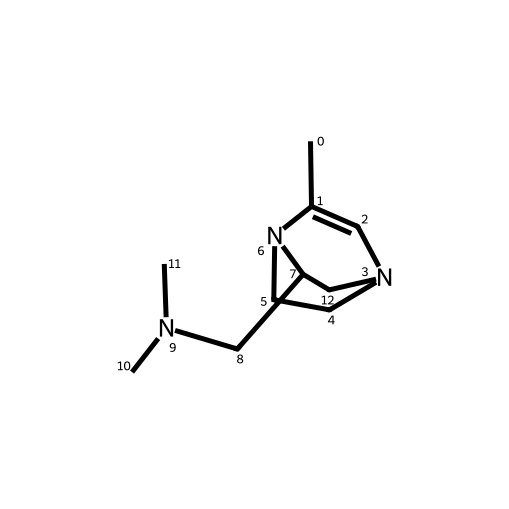 CC1=CN2CCN1C(CN(C)C)C2